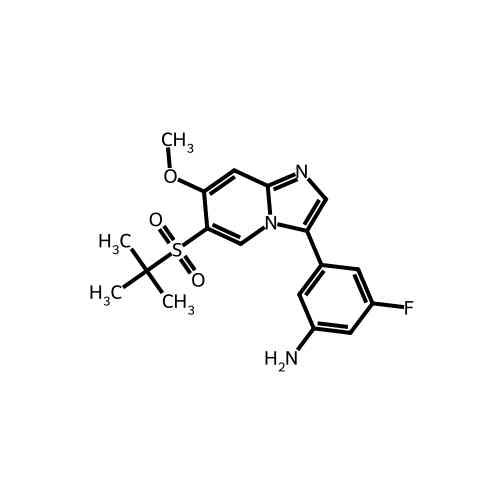 COc1cc2ncc(-c3cc(N)cc(F)c3)n2cc1S(=O)(=O)C(C)(C)C